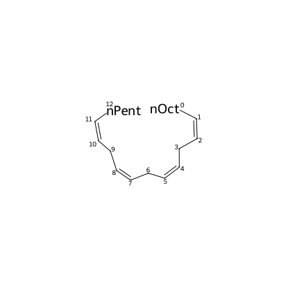 [CH2]CCCCCCC/C=C\C/C=C\C/C=C\C/C=C\CCCCC